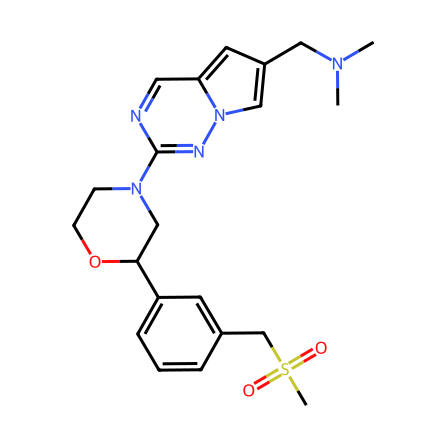 CN(C)Cc1cc2cnc(N3CCOC(c4cccc(CS(C)(=O)=O)c4)C3)nn2c1